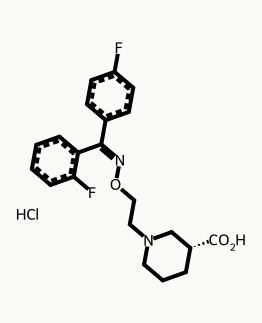 Cl.O=C(O)[C@@H]1CCCN(CCO/N=C(/c2ccc(F)cc2)c2ccccc2F)C1